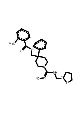 COc1ccccc1C(=O)NCC1(c2ccccc2)CCN(/C(=N\C#N)NC[C@H]2CCCO2)CC1